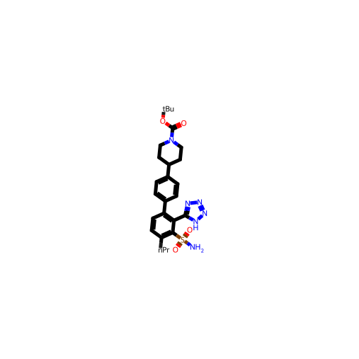 CCCc1ccc(-c2ccc(C3CCN(C(=O)OC(C)(C)C)CC3)cc2)c(-c2nnn[nH]2)c1S(N)(=O)=O